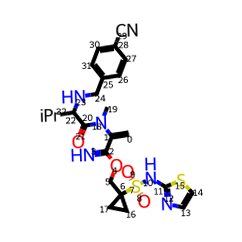 C=C(C(=N)OCC1(S(=O)(=O)Nc2nccs2)CC1)N(C)C(=O)C(NCc1ccc(C#N)cc1)C(C)C